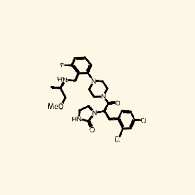 COCC(C)NCc1c(F)cccc1N1CCN(C(=O)C(Cc2ccc(Cl)cc2Cl)N2CCNC2=O)CC1